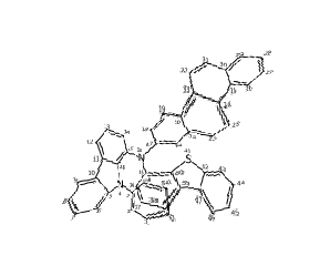 c1ccc(-n2c3ccccc3c3cccc(N(c4ccc5c(ccc6c7ccccc7ccc56)c4)c4cccc5c4sc4ccccc45)c32)cc1